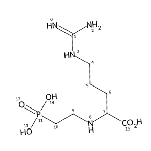 N=C(N)NCCCC(NCCP(=O)(O)O)C(=O)O